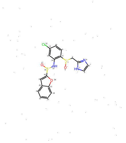 [O-][S+](Cc1ncc[nH]1)c1ccc(Cl)cc1N[S+]([O-])c1cc2ccccc2o1